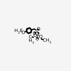 CCOP(=O)(CS(=O)(=O)Cc1ccc(OC)cc1)OCC